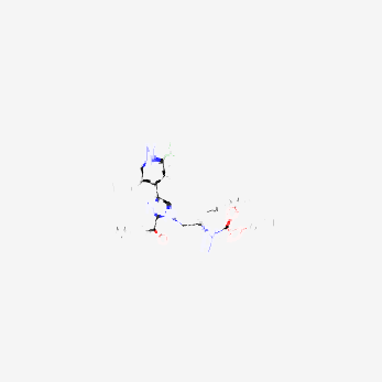 COC[C@@H](Cn1cc(-c2cc(Cl)ncc2C)nc1C(=O)OC)NC(=O)OC(C)(C)C